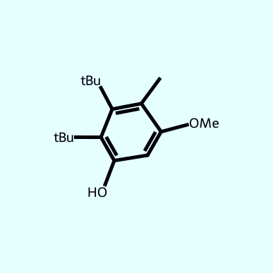 COc1cc(O)c(C(C)(C)C)c(C(C)(C)C)c1C